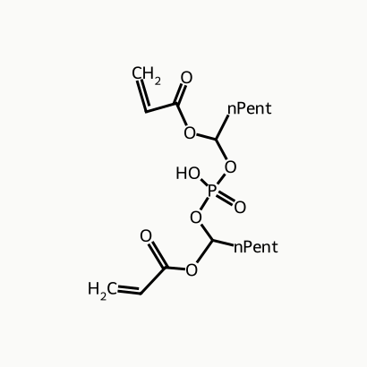 C=CC(=O)OC(CCCCC)OP(=O)(O)OC(CCCCC)OC(=O)C=C